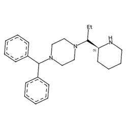 CCC([C@@H]1CCCCN1)N1CCN(C(c2ccccc2)c2ccccc2)CC1